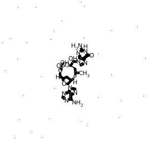 CC1C[C@H]([C@@H](O)n2cnc3c(=O)[nH]c(N)nc32)OP(=O)(O)OC[C@@H]2CC(P1)[C@H](n1cnc3c(N)ncnc31)O2